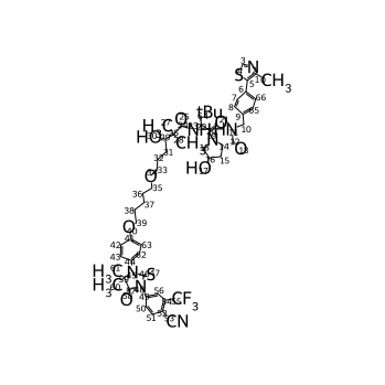 Cc1ncsc1-c1ccc(CNC(=O)[C@@H]2C[C@@H](O)CN2C(=O)[C@@H](NC(=O)C(C)(C)C(O)CCCOCCCCCOc2ccc(N3C(=S)N(c4ccc(C#N)c(C(F)(F)F)c4)C(=O)C3(C)C)cc2)C(C)(C)C)cc1